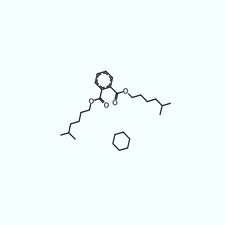 C1CCCCC1.CC(C)CCCCOC(=O)c1ccccc1C(=O)OCCCCC(C)C